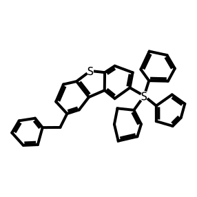 C1=CCCC(S(c2ccccc2)(c2ccccc2)c2ccc3sc4ccc(Cc5ccccc5)cc4c3c2)=C1